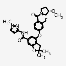 CO[C@@H]1CCN(C(=O)c2ccc(Oc3cc(C(=O)Nc4ccn(C)n4)cc4c3CC(C)(C)O4)cc2F)C1